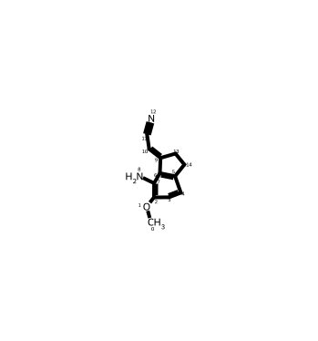 COc1ccc2c(c1N)C(=CC#N)CC2